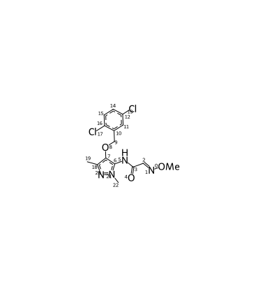 CON=CC(=O)Nc1c(OCc2cc(Cl)ccc2Cl)c(C)nn1C